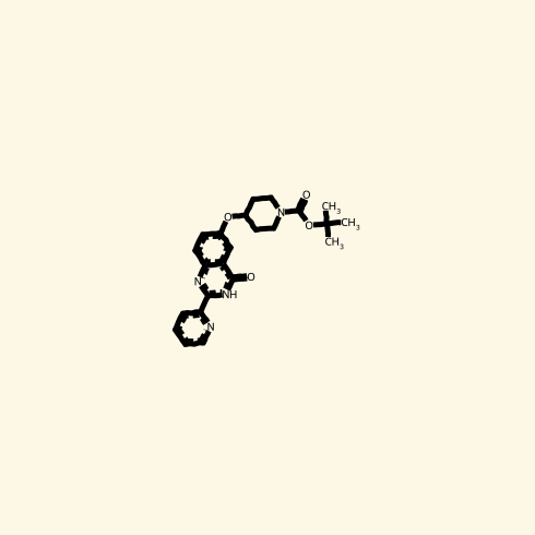 CC(C)(C)OC(=O)N1CCC(Oc2ccc3nc(-c4ccccn4)[nH]c(=O)c3c2)CC1